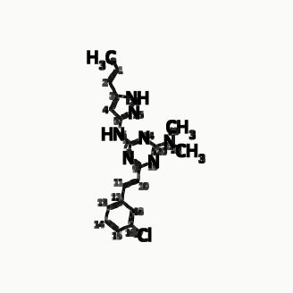 C/C=C/c1cc(Nc2nc(/C=C/c3cccc(Cl)c3)nc(N(C)C)n2)n[nH]1